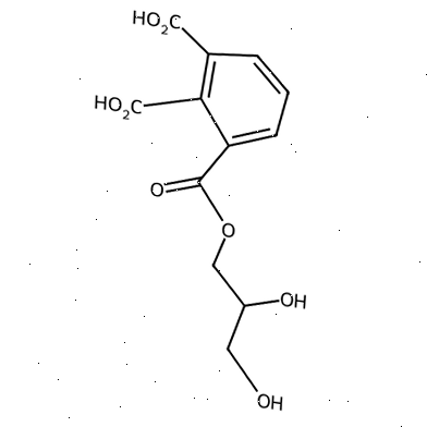 O=C(O)c1cccc(C(=O)OCC(O)CO)c1C(=O)O